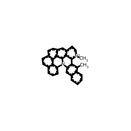 Cc1c2c(cc3ccccc13)N1c3cccc4ccc5ccc6cc7cc[n+](C)c-2c7c1c6c5c34